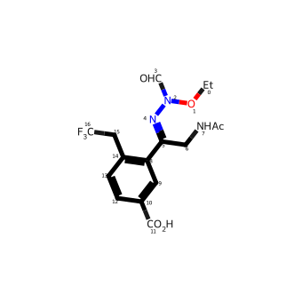 CCON(C=O)N=C(CNC(C)=O)c1cc(C(=O)O)ccc1CC(F)(F)F